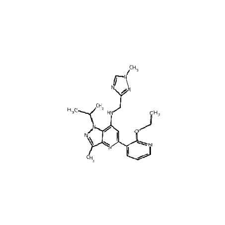 CCOc1ncccc1-c1cc(NCc2ncn(C)n2)c2c(n1)c(C)nn2C(C)C